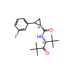 CC(C)(C)C(=O)[C@@H](NC(=O)[C@@H]1CC1c1cccc(F)c1)C(C)(C)C